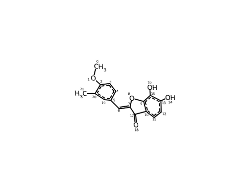 COc1ccc(C=C2Oc3c(ccc(O)c3O)C2=O)cc1C